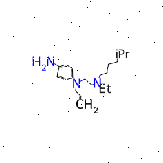 C=CCN(CCN(CC)CCCCC(C)C)c1ccc(N)cc1